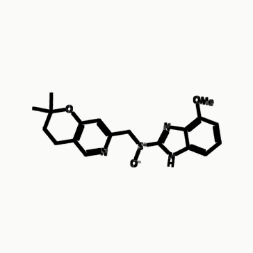 COc1cccc2[nH]c([S+]([O-])Cc3cc4c(cn3)CCC(C)(C)O4)nc12